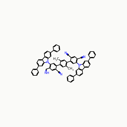 Cc1cc(-c2cc(-n3c4cc(-c5ccccc5)ccc4c4ccc(-c5ccccc5)cc43)c(C=N)cc2C#N)c(C)cc1-c1cc(-n2c3cc(-c4ccccc4)ccc3c3ccc(-c4ccccc4)cc32)c(C#N)cc1C#N